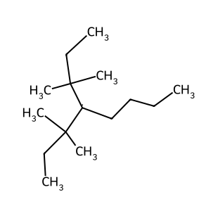 CCCC[C](C(C)(C)CC)C(C)(C)CC